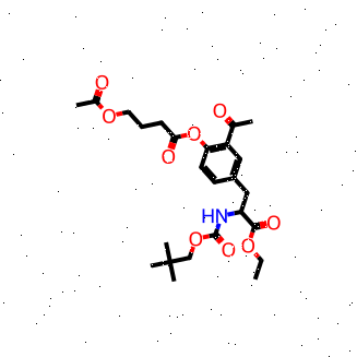 CCOC(=O)C(Cc1ccc(OC(=O)CCCOC(C)=O)c(C(C)=O)c1)NC(=O)OCC(C)(C)C